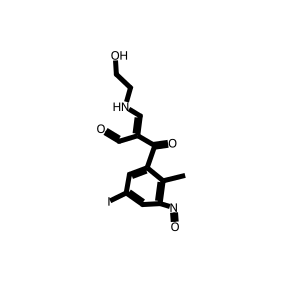 Cc1c(N=O)cc(I)cc1C(=O)C(C=O)=CNCCO